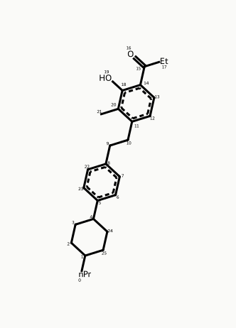 CCCC1CCC(c2ccc(CCc3ccc(C(=O)CC)c(O)c3C)cc2)CC1